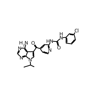 CC(C)n1cc(C(=O)c2ccnc(NC(=O)Nc3cccc(Cl)c3)c2)c2c(N)ncnc21